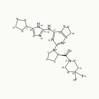 O=C([C@H]1CCCN1c1nc2c(c(Nc3ncc(C4CCCC4)[nH]3)n1)CCC2)N1CCC(F)(F)CC1